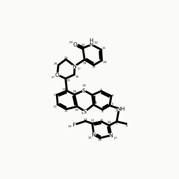 CC(Nc1ccc2c(c1)Sc1cccc(C3CN(c4ccc[nH]c4=O)CCO3)c1S2)c1cc(CF)ncn1